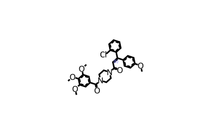 COc1ccc(/C(=C\C(=O)N2CCN(C(=O)c3cc(OC)c(OC)c(OC)c3)CC2)c2ccccc2Cl)cc1